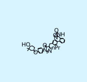 CCCc1nc(C)n(-c2ccc(OC3CCC(O)C(C)(C)C3)cc2)c(=O)c1Cc1ccc(-c2ccccc2-c2noc(=O)[nH]2)cc1